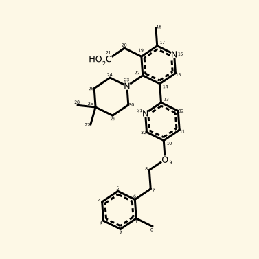 Cc1ccccc1CCOc1ccc(-c2cnc(C)c(CC(=O)O)c2N2CCC(C)(C)CC2)nc1